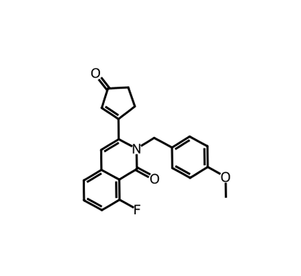 COc1ccc(Cn2c(C3=CC(=O)CC3)cc3cccc(F)c3c2=O)cc1